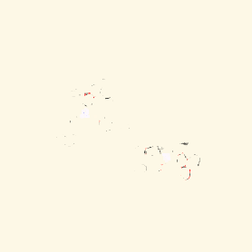 CC(C)(C)c1cc(C2=CC=CC3=CC=CC(c4ccccc4N(c4ccc(-c5cccc6c5ccc5cccc(CC(C)(C)c7cc(-c8cccc9cccc(-c%10ccccc%10N(c%10cccc(-c%11cccc%12ccccc%11%12)c%10)c%10ccccc%10-c%10cccc%11ccccc%10%11)c89)cc(C(C)(C)C)c7)c56)cc4)c4cccc(-c5cccc6ccccc56)c4)C32)cc(C(C)(C)C)c1